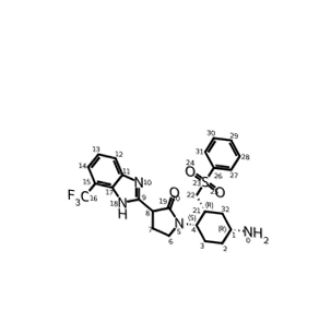 N[C@@H]1CC[C@H](N2CCC(c3nc4cccc(C(F)(F)F)c4[nH]3)C2=O)[C@H](CS(=O)(=O)c2ccccc2)C1